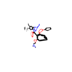 Cc1ccc(NC(=O)c2c(OCCN(C)C)cccc2OC2CCCC2)cc1C(F)(F)F